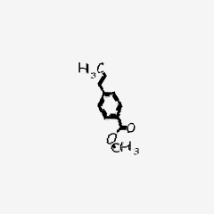 CC=Cc1ccc(C(=O)OC)cc1